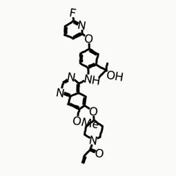 C=CC(=O)N1CCC(Oc2cc3c(Nc4ccc(Oc5cccc(F)n5)cc4C(C)(C)O)ncnc3cc2OC)CC1